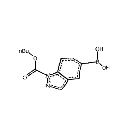 CCCCOC(=O)n1ncc2cc(B(O)O)ccc21